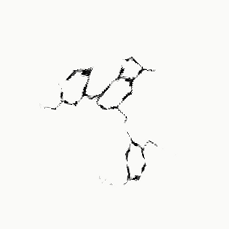 CCOC(=O)Cc1ccc(OC)cc1OCc1cc(-c2ccnc(CN)c2)c2occ(C(F)(F)F)c2c1